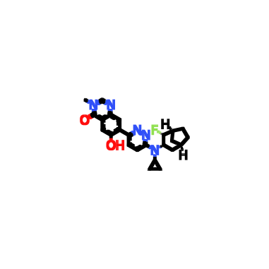 Cn1cnc2cc(-c3ccc(N(C4CC4)[C@H]4C[C@@H]5CC[C@@H](C5)[C@H]4F)nn3)c(O)cc2c1=O